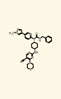 Cn1cc(-c2ccc(N(C(=O)NCc3ccccc3)[C@H]3CC[C@H](Nc4ncc(C#N)c(N5CCSCC5)n4)CC3)nc2)cn1